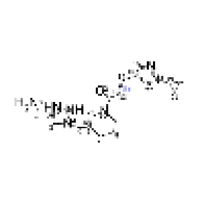 NCC1=CN(C[C@@H]2CCCN(C(=O)/C=C/c3cnn(C4CC4)c3)C2)NN1